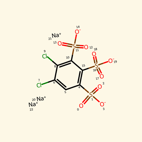 O=S(=O)([O-])c1cc(Cl)c(Cl)c(S(=O)(=O)[O-])c1S(=O)(=O)[O-].[Na+].[Na+].[Na+]